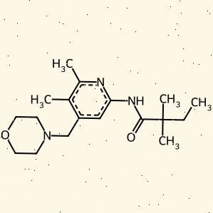 CCC(C)(C)C(=O)Nc1cc(CN2CCOCC2)c(C)c(C)n1